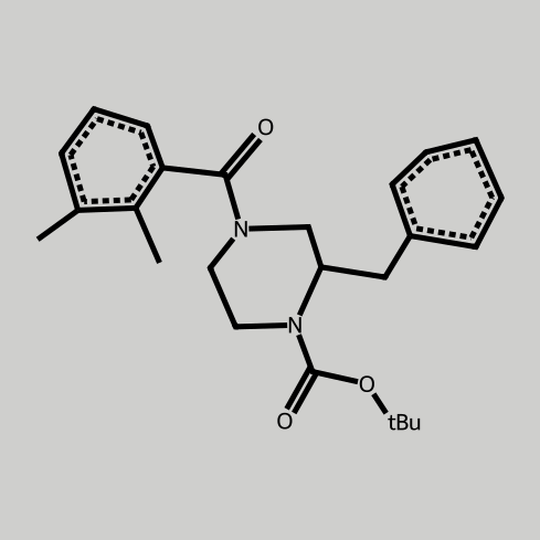 Cc1cccc(C(=O)N2CCN(C(=O)OC(C)(C)C)C(Cc3ccccc3)C2)c1C